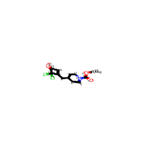 CC(C)(C)OC(=O)N1CCC(CC2CC(=O)C2(Cl)Cl)CC1